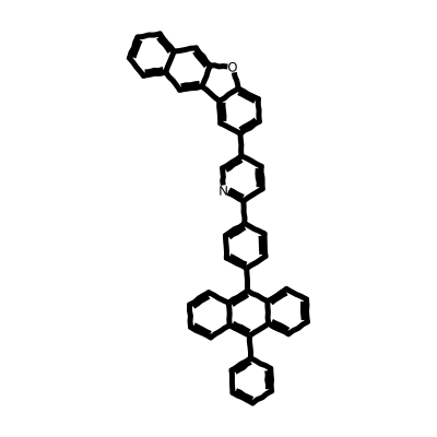 c1ccc(-c2c3ccccc3c(-c3ccc(-c4ccc(-c5ccc6oc7cc8ccccc8cc7c6c5)cn4)cc3)c3ccccc23)cc1